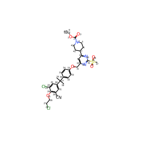 CC(C)(C)OC(=O)N1CCC(c2cc(COc3ccc(C(C)(C)c4cc(Cl)c(OCCCl)c(C#N)c4)cc3)nc(S(C)(=O)=O)n2)CC1